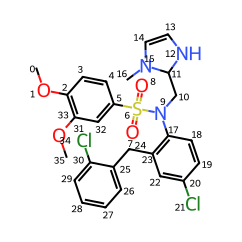 COc1ccc(S(=O)(=O)N(CC2NC=CN2C)c2ccc(Cl)cc2Cc2ccccc2Cl)cc1OC